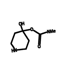 CNC(=O)OC1(O)CCNCC1